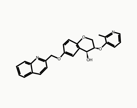 Cc1ncccc1O[C@@H]1COc2ccc(OCc3ccc4ccccc4n3)cc2[C@@H]1O